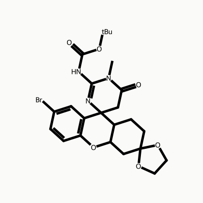 CN1C(=O)CC2(N=C1NC(=O)OC(C)(C)C)c1cc(Br)ccc1OC1CC3(CCC12)OCCO3